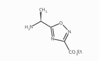 CCOC(=O)c1noc([C@H](C)N)n1